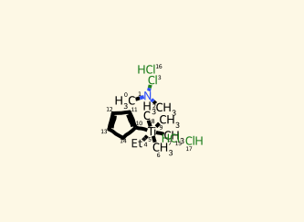 CN(C)Cl.C[CH2][Ti]([CH3])([CH3])([CH3])([CH3])[C]1=CC=CC1.Cl.Cl.Cl